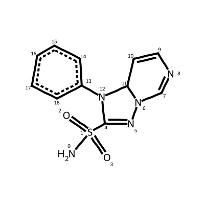 NS(=O)(=O)C1=NN2C=NC=CC2N1c1ccccc1